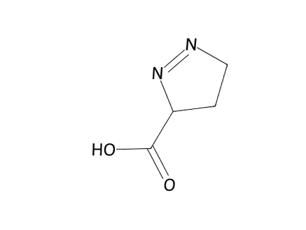 O=C(O)C1CCN=N1